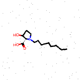 CCCCCCCCN1CCC(O)[C@H]1C(=O)O